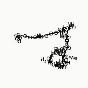 C=C1C[C@@H]2CC[C@@]34CC5O[C@H]6[C@@H](O3)[C@H]3O[C@H](CC[C@@H]3O[C@H]6[C@H]5O4)CC(=O)C[C@@H]3[C@@H](OC)[C@@H](C[C@H](O)CNC(=O)OCc4ccc(NC(=O)[C@H](CCCNC(N)=O)NC(=O)[C@@H](NC(=O)CCOCCOCCOCCn5cc(COCCOCCOCCC(=O)ON6C(=O)CCC6=O)nn5)C(C)C)cc4)O[C@H]3C[C@H]3O[C@@H](CC[C@@H]1O2)C[C@@H](C)C3(C)C